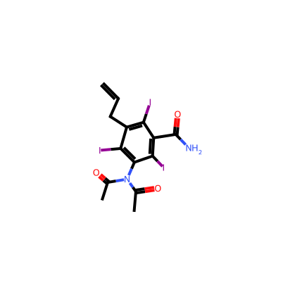 C=CCc1c(I)c(C(N)=O)c(I)c(N(C(C)=O)C(C)=O)c1I